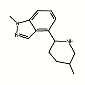 CC1CCC(c2cccc3c2cnn3C)NC1